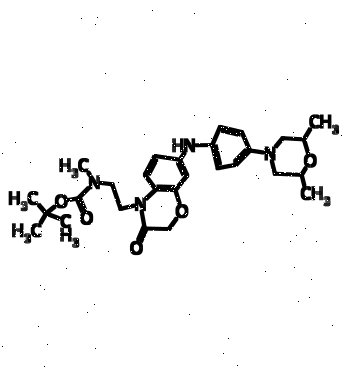 CC1CN(c2ccc(Nc3ccc4c(c3)OCC(=O)N4CCN(C)C(=O)OC(C)(C)C)cc2)CC(C)O1